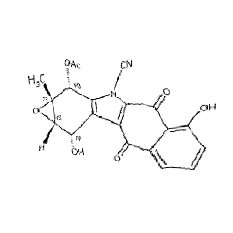 CC(=O)O[C@@H]1c2c(c3c(n2C#N)C(=O)c2c(O)cccc2C3=O)[C@H](O)[C@@H]2O[C@]12C